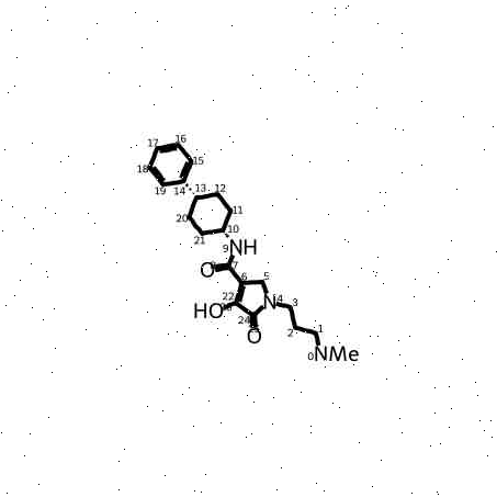 CNCCCN1CC(C(=O)N[C@H]2CC[C@@H](c3ccccc3)CC2)=C(O)C1=O